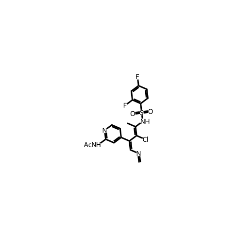 C=N/C=C(\C(Cl)=C(/C)NS(=O)(=O)c1ccc(F)cc1F)c1ccnc(NC(C)=O)c1